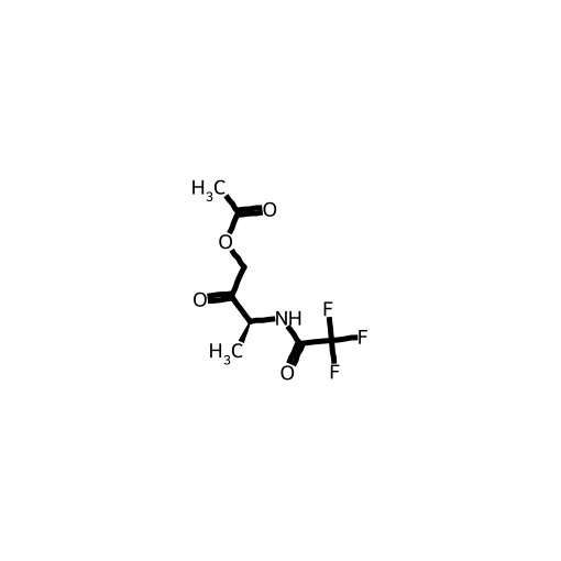 CC(=O)OCC(=O)[C@H](C)NC(=O)C(F)(F)F